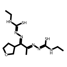 CCN/C(S)=N/N=C(C)/C(=N/N=C(\S)NCC)C1CCOC1